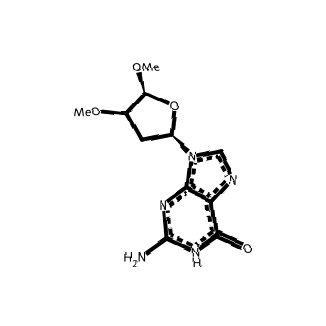 COC1C[C@H](n2cnc3c(=O)[nH]c(N)nc32)O[C@@H]1OC